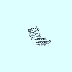 CCCCCC.CCCCCC.CCCCCC.S=C=S.S=C=S.S=C=S.S=C=S.S=C=S